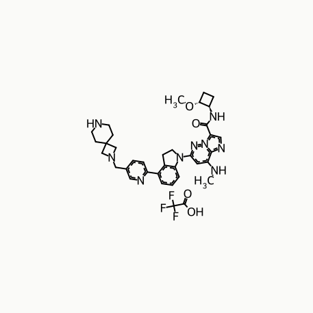 CNc1cc(N2CCc3c(-c4ccc(CN5CC6(CCNCC6)C5)cn4)cccc32)nn2c(C(=O)N[C@@H]3CC[C@H]3OC)cnc12.O=C(O)C(F)(F)F